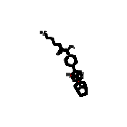 CCCCCC(=O)[C@H](C)N1CCC(c2cnc(N3C4CCC3CN(C(C)C)C4)nc2)CC1